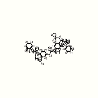 COC(=O)C[C@@H](NS(=O)(=O)c1cccnc1)c1ccc(NC(=O)Cc2ccc(NC(=O)Nc3ccccc3C)c(OC)c2)cc1